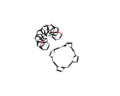 C1=CC2=NC1=CC1=NC(=CC3=NC(=CC4=NC(=C2)C=C4)C=C3)C=C1.c1cc[c]([Pt]([c]2ccccc2)([c]2ccccc2)([c]2ccccc2)([c]2ccccc2)([c]2ccccc2)([c]2ccccc2)[c]2ccccc2)cc1